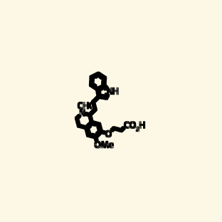 COc1cc2c(cc1OCCC(=O)O)C(CCc1c[nH]c3ccccc13)N(C=O)CC2